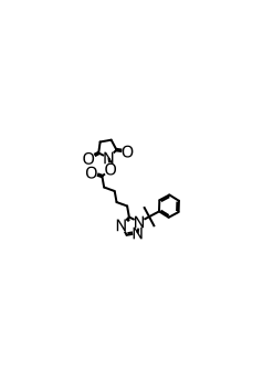 CC(C)(c1ccccc1)n1ncnc1CCCCC(=O)ON1C(=O)CCC1=O